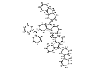 c1ccc(N(c2ccccc2)c2ccc3c(c2)c2c4oc5c(ccc6c5c5ccccc5n6-c5ccc6oc7ccccc7c6c5)c4ccc2n3-c2ccc3oc4ccccc4c3c2)cc1